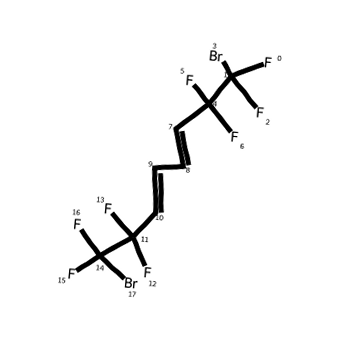 FC(F)(Br)C(F)(F)C=CC=CC(F)(F)C(F)(F)Br